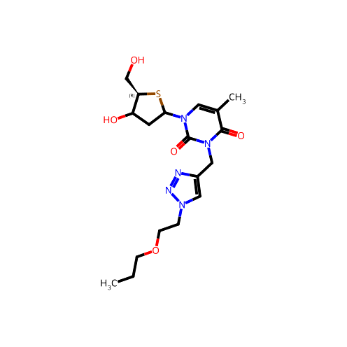 CCCOCCn1cc(Cn2c(=O)c(C)cn(C3CC(O)[C@@H](CO)S3)c2=O)nn1